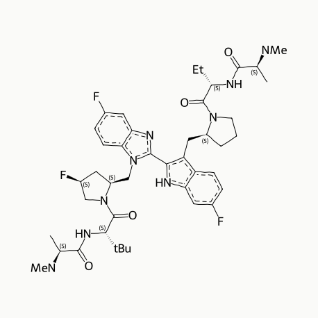 CC[C@H](NC(=O)[C@H](C)NC)C(=O)N1CCC[C@H]1Cc1c(-c2nc3cc(F)ccc3n2C[C@@H]2C[C@H](F)CN2C(=O)[C@@H](NC(=O)[C@H](C)NC)C(C)(C)C)[nH]c2cc(F)ccc12